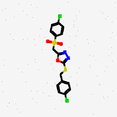 O=S(=O)(Cc1nnc(SCc2ccc(Cl)cc2)o1)c1ccc(Cl)cc1